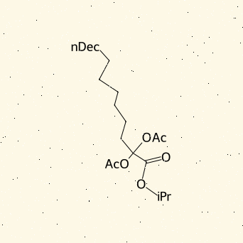 CCCCCCCCCCCCCCCCC(OC(C)=O)(OC(C)=O)C(=O)OC(C)C